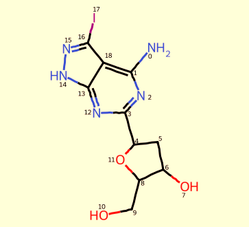 Nc1nc(C2CC(O)C(CO)O2)nc2[nH]nc(I)c12